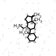 C=C1CCC2[C@H](CN)C(C3(C)CCCCC3)CC[C@]12C